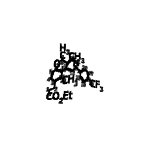 CCOC(=O)CCc1ccc(OC(C)c2ccc(-c3ccc(C(F)(F)F)cc3)nc2C)cc1C